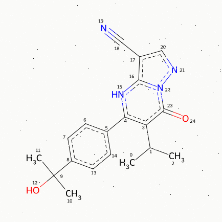 CC(C)c1c(-c2ccc(C(C)(C)O)cc2)[nH]c2c(C#N)cnn2c1=O